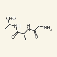 C[C@H](NC(=O)CN)C(=O)N[C@@H](C)C=O